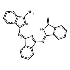 C=C1N/C(=N\C2=NC(=N\c3[nH]c(N)c4ccccc34)/c3ccccc32)c2ccccc21